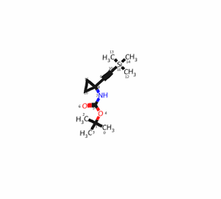 CC(C)(C)OC(=O)NC1(C#C[Si](C)(C)C)CC1